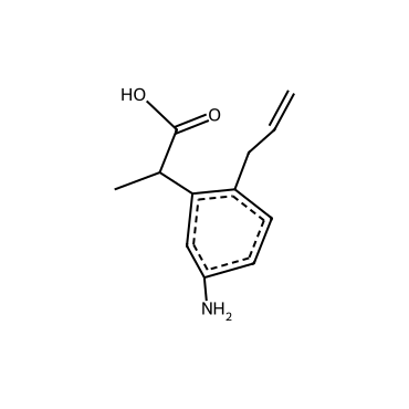 C=CCc1ccc(N)cc1C(C)C(=O)O